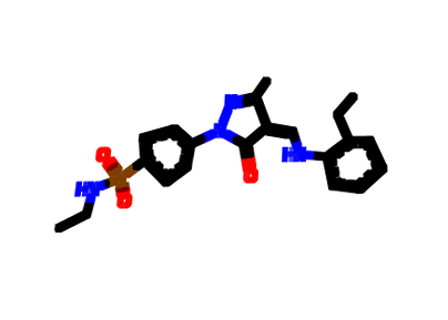 CCNS(=O)(=O)c1ccc(N2N=C(C)C(=CNc3ccccc3CC)C2=O)cc1